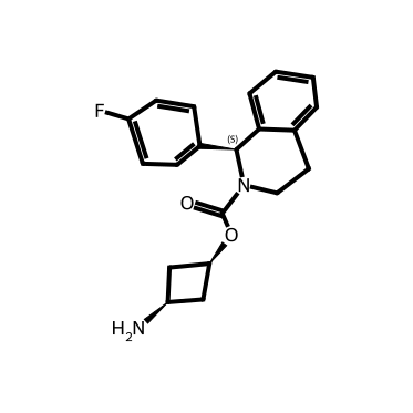 N[C@H]1C[C@@H](OC(=O)N2CCc3ccccc3[C@@H]2c2ccc(F)cc2)C1